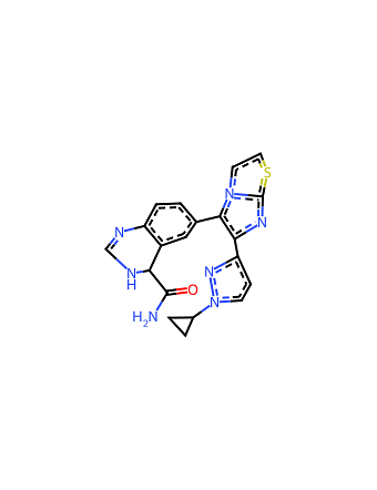 NC(=O)C1NC=Nc2ccc(-c3c(-c4ccn(C5CC5)n4)nc4sccn34)cc21